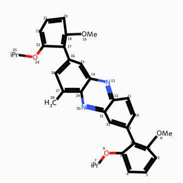 COc1cccc(OC(C)C)c1-c1ccc2nc3cc(-c4c(OC)cccc4OC(C)C)cc(C)c3nc2c1